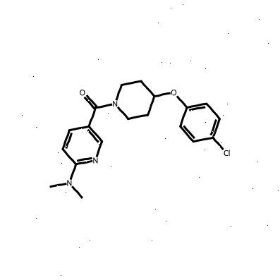 CN(C)c1ccc(C(=O)N2CCC(Oc3ccc(Cl)cc3)CC2)cn1